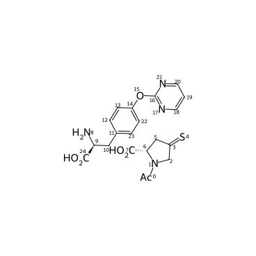 CC(=O)N1CC(=S)C[C@H]1C(=O)O.N[C@@H](Cc1ccc(Oc2ncccn2)cc1)C(=O)O